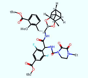 CCN1CCN(C(=O)NC(C(=O)N[C@H](Cc2cccc(C(=O)OC(C)(C)C)c2OC)B2O[C@@H]3C[C@@H]4C[C@@H](C4(C)C)[C@]3(C)O2)c2c(F)cc(C(=O)OC(C)(C)C)cc2F)C(=O)C1=O